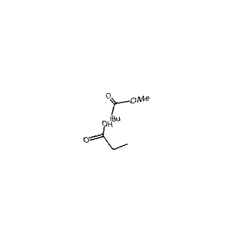 CCC(=O)O.CCC(C)C(=O)OC